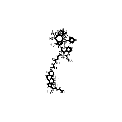 CC(=O)O[C@@]12CO[C@@H]1C[C@H](O)[C@@]1(C)C(=O)[C@H](O)C3=C(C)[C@@H](OC(=O)[C@H](OC(=O)CCC(=O)NCC(=O)O[C@H]4CC[C@@]5(C)C(=CCC6C5CC[C@@]5(C)C6CC[C@@H]5[C@H](C)CCCC(C)C)C4)[C@@H](NC(=O)OC(C)(C)C)c4ccccc4)C[C@@](O)([C@@H](OC(=O)c4ccccc4)[C@H]21)C3(C)C